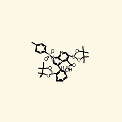 Cc1ccc(S(=O)(=O)n2cc(-c3c(O)cccc3B3OC(C)(C)C(C)(C)O3)c3c(C(N)=O)c(B4OC(C)(C)C(C)(C)O4)cnc32)cc1